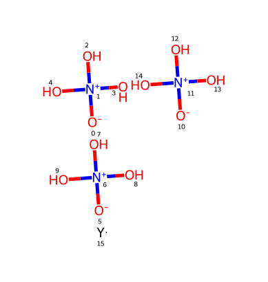 [O-][N+](O)(O)O.[O-][N+](O)(O)O.[O-][N+](O)(O)O.[Y]